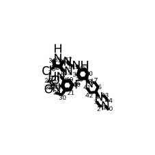 CN1CCN(C2CCN(c3ccc(Nc4nc(Nc5cccc6c5N(S(C)(=O)=O)CC6)c5c(Cl)c[nH]c5n4)cc3F)CC2)CC1